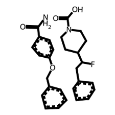 NC(=O)c1ccc(OCc2ccccc2)cc1.O=C(O)N1CCC(C(F)Cc2ccccc2)CC1